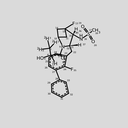 [2H]C([2H])([2H])C([2H])(O)C(=O)N1C2CC(F)(C2)[C@H](NS(C)(=O)=O)[C@@H]1Cc1cccc(-c2ccccc2)c1F